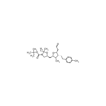 Cc1ccc(CC[C@@H]2C(C)[C@@H](C[C@H]3CN(C(=O)OC(C)(C)C)C(C)(C)O3)O[C@H]2CC=O)cc1